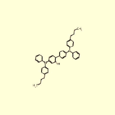 [2H]c1cc(N(c2ccccc2)c2ccc(CCCC)cc2)ccc1-c1ccc(N(c2ccccc2)c2ccc(CCCC)cc2)cc1